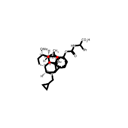 CO[C@@]12CC[C@@]3(C[C@@H]1[C@@](C)(O)C(C)(C)C)[C@H]1Cc4ccc(OC(=O)NC(C(=O)O)C(C)C)c5c4[C@@]3(CCN1CC1CC1)[C@H]2O5